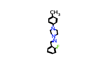 Cc1ccc(N2CCN(N=Cc3ccccc3F)CC2)cc1